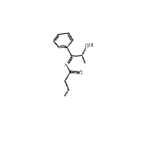 CCCC(=O)/N=C(/c1ccccc1)C(C)O